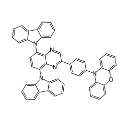 c1ccc2c(c1)Oc1ccccc1N2c1ccc(-c2cnc3c(-n4c5ccccc5c5ccccc54)ccc(-n4c5ccccc5c5ccccc54)c3n2)cc1